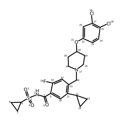 O=C(NS(=O)(=O)C1CC1)c1cc(C2CC2)c(CN2CCC(Oc3ccc(Cl)c(Cl)c3)CC2)cc1F